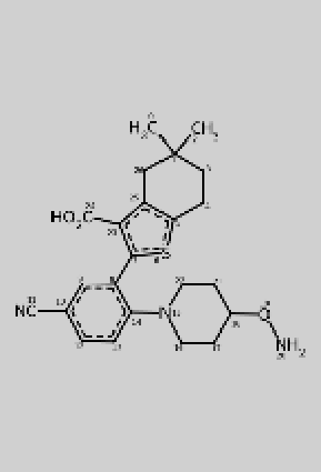 CC1(C)CCc2sc(-c3cc(C#N)ccc3N3CCC(ON)CC3)c(C(=O)O)c2C1